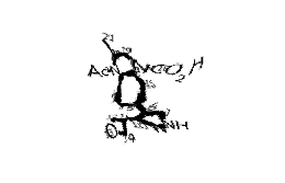 CC(=O)N1c2ccc(-c3c[nH]nc3C3COC3)cc2N(C(=O)O)C[C@@H]1C